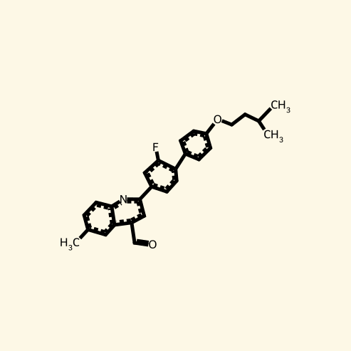 Cc1ccc2nc(-c3ccc(-c4ccc(OCCC(C)C)cc4)c(F)c3)cc(C=O)c2c1